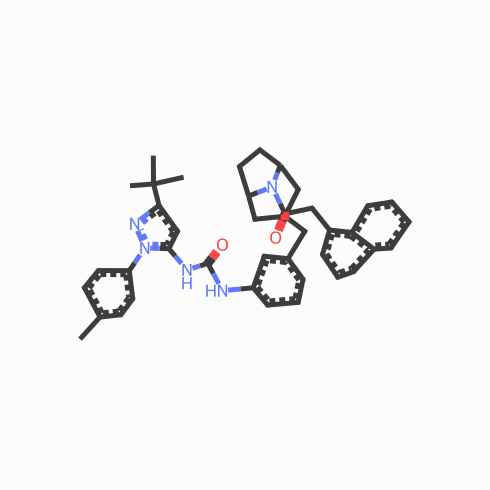 Cc1ccc(-n2nc(C(C)(C)C)cc2NC(=O)Nc2cccc(CC3CC4CCC(C3)N4C(=O)Cc3cccc4ccccc34)c2)cc1